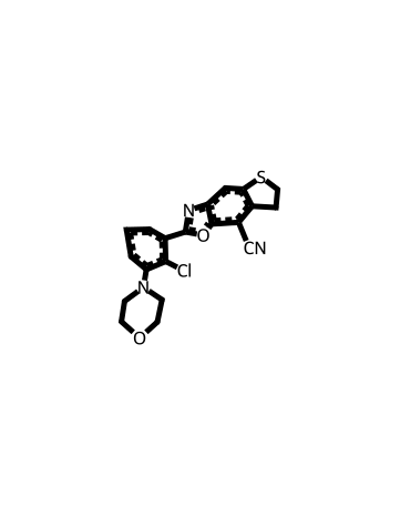 N#Cc1c2c(cc3nc(-c4cccc(N5CCOCC5)c4Cl)oc13)SCC2